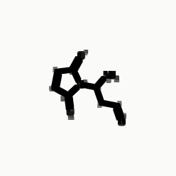 NC(CC=O)N1C(=O)C=CC1=O